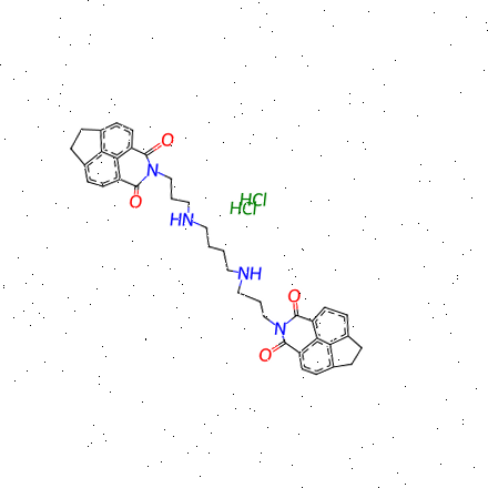 Cl.Cl.O=C1c2ccc3c4c(ccc(c24)C(=O)N1CCCNCCCCNCCCN1C(=O)c2ccc4c5c(ccc(c25)C1=O)CC4)CC3